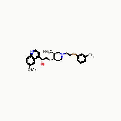 COc1ccc2nccc([C@@H](O)CC[C@@H]3CCN(CCSc4cccc(C)c4)C[C@@H]3C(=O)O)c2c1